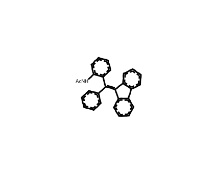 CC(=O)Nc1ccccc1C(=C1c2ccccc2-c2ccccc21)c1ccccc1